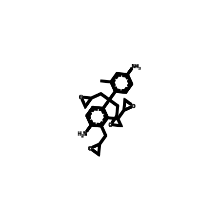 Cc1cc(N)ccc1C(CC1CO1)(CC1CO1)c1ccc(N)c(CC2CO2)c1CC1CO1